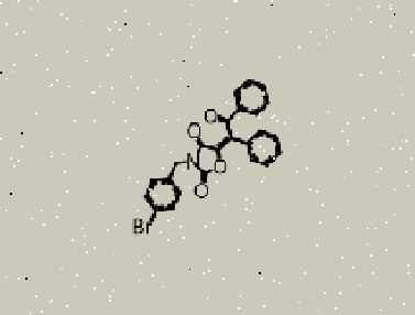 O=C(C(=C1OC(=O)N(Cc2ccc(Br)cc2)C1=O)c1ccccc1)c1ccccc1